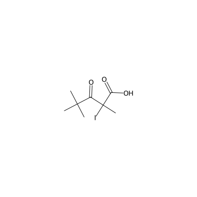 CC(C)(C)C(=O)C(C)(I)C(=O)O